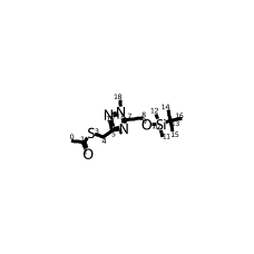 CC(=O)SCc1nc(CO[Si](C)(C)C(C)(C)C)n(C)n1